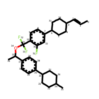 C/C=C/C1CCC(c2ccc(C(F)(F)OC(C)c3ccc(C4CCC(C)CC4)cc3)c(F)c2)CC1